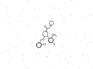 Cc1cc(F)ccc1C1CN(C(=O)CN2CCCC2)CCC1OCc1ccccc1Cl